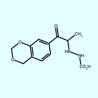 CC(NNC(=O)O)C(=O)c1ccc2c(c1)OCOC2